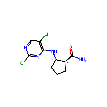 NC(=O)[C@H]1CCC[C@H]1Nc1nc(Cl)ncc1Cl